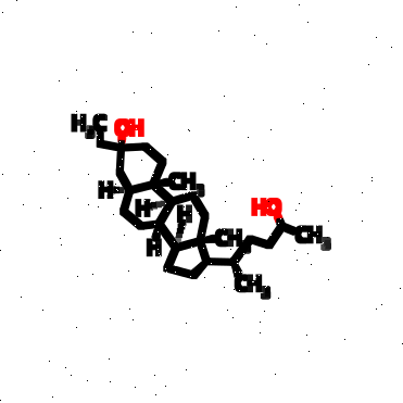 CC[C@]1(O)CC[C@@]2(C)[C@@H](CC[C@@H]3[C@@H]2CC[C@]2(C)[C@@H]([C@H](C)CCC(C)O)CC[C@@H]32)C1